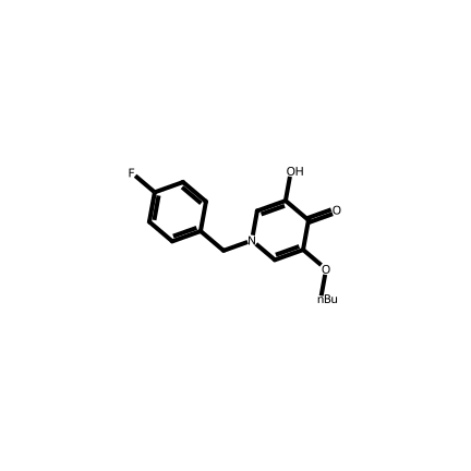 CCCCOc1cn(Cc2ccc(F)cc2)cc(O)c1=O